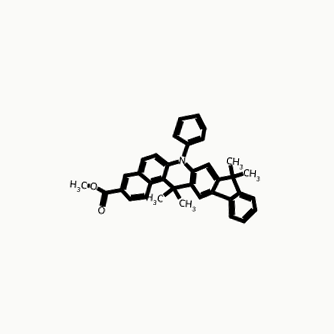 COC(=O)c1ccc2c3c(ccc2c1)N(c1ccccc1)c1cc2c(cc1C3(C)C)-c1ccccc1C2(C)C